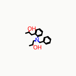 CC(O)Cc1ccccc1N(Cc1ccccc1)CC(C)O